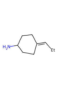 CCC=C1CCC(N)CC1